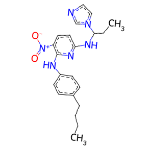 CCCCc1ccc(Nc2nc(NC(CC)n3ccnc3)ccc2[N+](=O)[O-])cc1